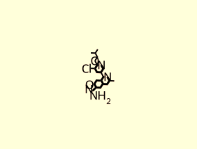 Cc1cc2cc3c(N)noc3cc2c(-c2cnc(OCC(C)C)c(Cl)c2)n1